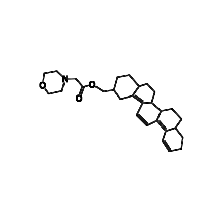 O=C(CN1CCOCC1)OCC1CCC2CCC3C(=C2C1)C=CC1=C2C=CCCC2CCC13